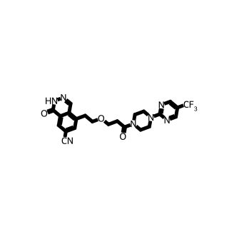 N#Cc1cc(CCOCCC(=O)N2CCN(c3ncc(C(F)(F)F)cn3)CC2)c2cn[nH]c(=O)c2c1